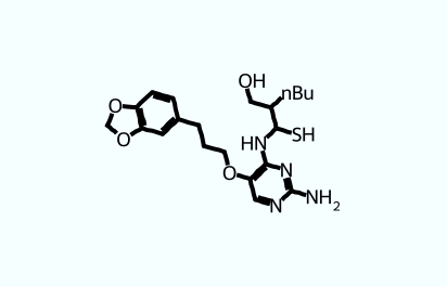 CCCCC(CO)C(S)Nc1nc(N)ncc1OCCCc1ccc2c(c1)OCO2